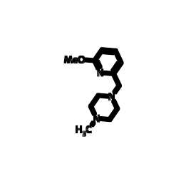 COc1cccc(CN2CCN(C)CC2)n1